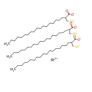 CCCCCCCCCCCCCCCCCCC(CS)C(=O)[O-].CCCCCCCCCCCCCCCCCCC(CS)C(=O)[O-].CCCCCCCCCCCCCCCCCCC(CS)C(=O)[O-].[Sb+3]